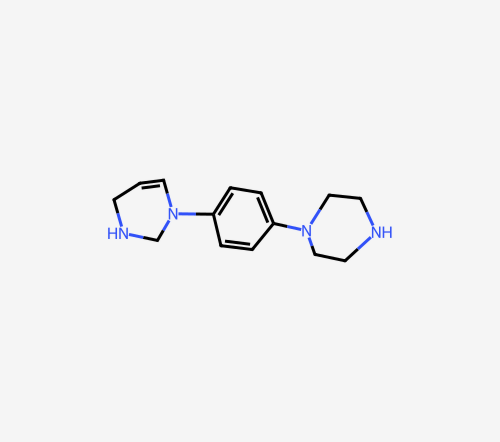 C1=CN(c2ccc(N3CCNCC3)cc2)CNC1